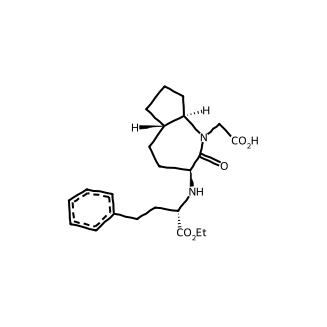 CCOC(=O)[C@H](CCc1ccccc1)N[C@H]1CC[C@@H]2CCC[C@H]2N(CC(=O)O)C1=O